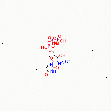 [N-]=[N+]=N[C@@H]1[C@H](O)[C@@H](COP(=O)(O)OP(=O)(O)OP(=O)(O)O)O[C@H]1n1ccc(=O)[nH]c1=O